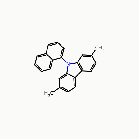 Cc1ccc2c3ccc(C)cc3n(-c3cccc4ccccc34)c2c1